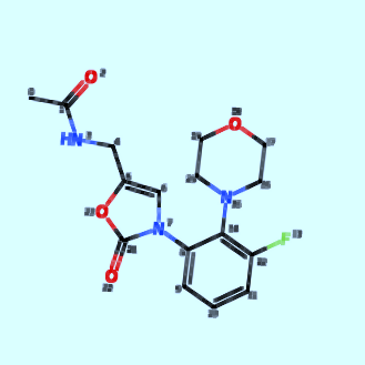 CC(=O)NCc1cn(-c2cccc(F)c2N2CCOCC2)c(=O)o1